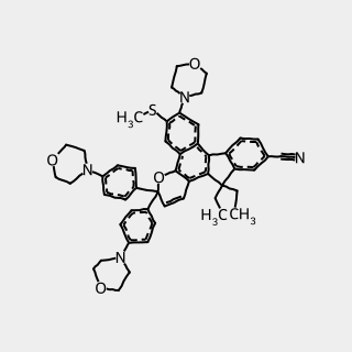 CCC1(CC)c2cc(C#N)ccc2-c2c1c1c(c3cc(SC)c(N4CCOCC4)cc23)OC(c2ccc(N3CCOCC3)cc2)(c2ccc(N3CCOCC3)cc2)C=C1